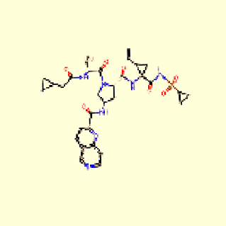 C=C[C@H]1C[C@]1(NC(=O)[C@@H]1C[C@@H](NC(=O)c2ccc3cnccc3n2)CN1C(=O)[C@@H](NC(=O)CC1CC1)C(C)(C)C)C(=O)NS(=O)(=O)C1CC1